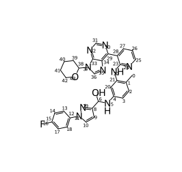 Cc1ccc(NC(O)c2ccn(-c3ccc(F)cc3)n2)cc1Nc1ncccc1-c1ncnc2c1ncn2C1CCCCO1